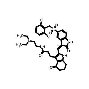 CCN(CC)CCNC(=O)CCc1c(/C=C2\C(=O)Nc3ccc(S(=O)(=O)Cc4c(Cl)cccc4Cl)cc32)[nH]c2c1C(=O)CCC2